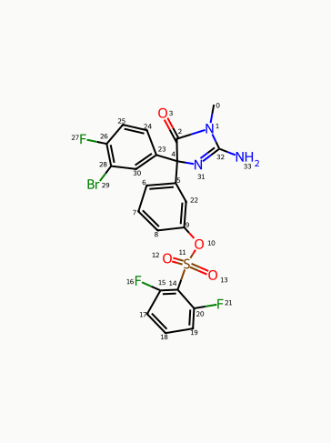 CN1C(=O)C(c2cccc(OS(=O)(=O)c3c(F)cccc3F)c2)(c2ccc(F)c(Br)c2)N=C1N